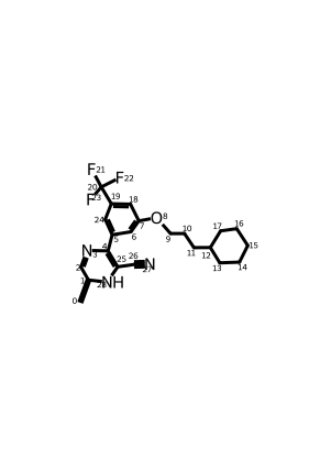 C=C1C=NC(c2cc(OCCCC3CCCCC3)cc(C(F)(F)F)c2)=C(C#N)N1